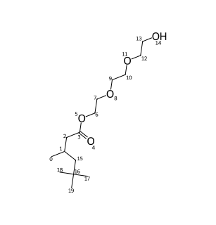 CC(CC(=O)OCCOCCOCCO)CC(C)(C)C